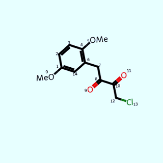 COc1ccc(OC)c(CC(=O)C(=O)CCl)c1